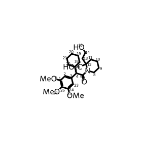 COc1cc(C(C(=O)N2CCCCC2(CCO)C(=O)O)C2CCCCC2)cc(OC)c1OC